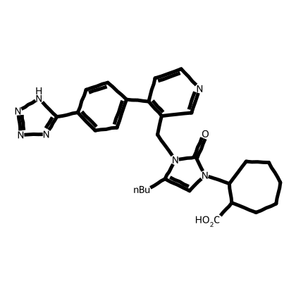 CCCCc1cn(C2CCCCCC2C(=O)O)c(=O)n1Cc1cnccc1-c1ccc(-c2nnn[nH]2)cc1